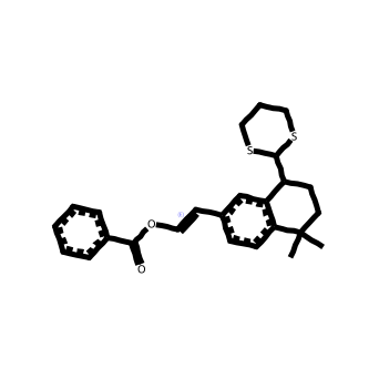 CC1(C)CCC(C2SCCCS2)c2cc(/C=C/OC(=O)c3ccccc3)ccc21